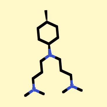 CN(C)CCCN(CCCN(C)C)[C@H]1CC[C@H](C)CC1